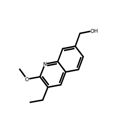 CCc1cc2ccc(CO)cc2nc1OC